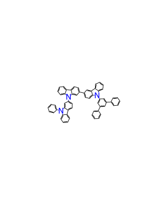 c1ccc(-c2cc(-c3ccccc3)cc(-n3c4ccccc4c4cc(-c5ccc6c7ccccc7n(-c7ccc8c9ccccc9n(-c9ccccc9)c8c7)c6c5)ccc43)c2)cc1